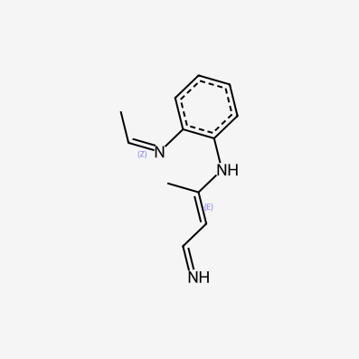 C/C=N\c1ccccc1N/C(C)=C/C=N